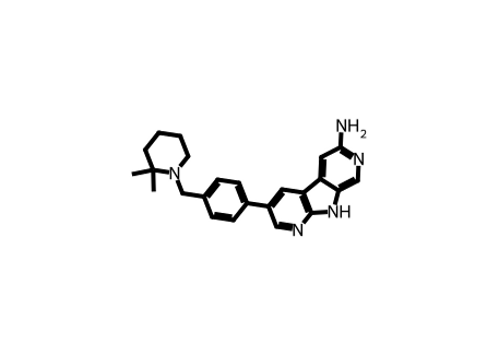 CC1(C)CCCCN1Cc1ccc(-c2cnc3[nH]c4cnc(N)cc4c3c2)cc1